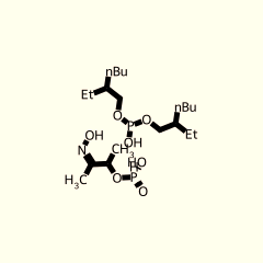 CC(=NO)C(C)O[PH](=O)O.CCCCC(CC)COP(O)OCC(CC)CCCC